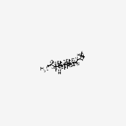 C=CC(=O)OC(F)(F)C(O)(F)C(F)(F)C(F)(F)C(F)(F)C(F)(F)C(F)(F)C(F)CCC(F)(F)F